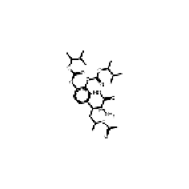 CC(=O)OC(C)CC(c1ccc(OC(=O)OC(C)C(C)C)c(OC(=O)OC(C)C(C)C)c1)[C@H](N)C(=O)O